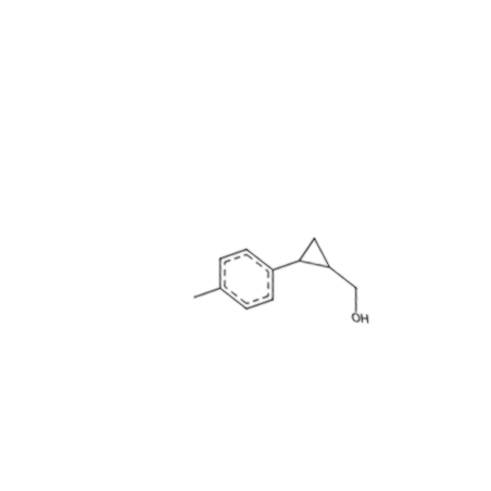 Cc1ccc(C2CC2CO)cc1